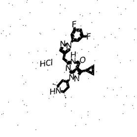 C[C@@H]1CC(n2nc(C3CC3)c3c(=O)[nH]c(Cc4cnn(-c5cc(F)cc(F)c5)c4)nc32)C[C@H](C)N1.Cl